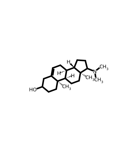 CN(C)C1CC[C@H]2[C@@H]3CC=C4CC(O)CC[C@]4(C)[C@@H]3CC[C@]12C